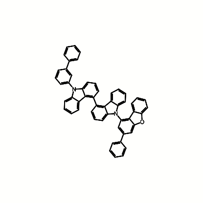 c1ccc(-c2cccc(-n3c4ccccc4c4c(-c5cccc6c5c5ccccc5n6-c5cc(-c6ccccc6)cc6oc7ccccc7c56)cccc43)c2)cc1